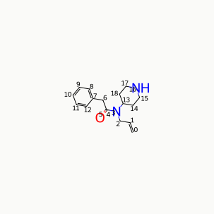 C=CCN(C(=O)Cc1ccccc1)C1CCNCC1